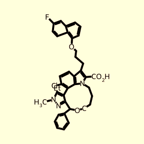 CCc1c2c(nn1C)C(c1ccccc1)OCCCCn1c(C(=O)O)c(CCCOc3cccc4cc(F)ccc34)c3ccc(Cl)c-2c31